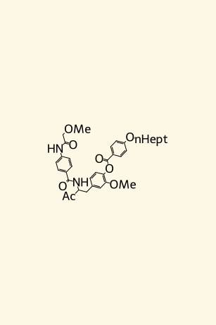 CCCCCCCOc1ccc(C(=O)Oc2ccc(CC(NC(=O)c3ccc(NC(=O)COC)cc3)C(C)=O)cc2OC)cc1